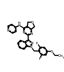 CCOc1cc(F)c(Cn2nc(-c3nc4c(c(Nc5ccncc5)n3)COC4)c3ccccc32)c(F)c1